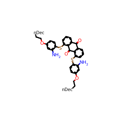 CCCCCCCCCCCCOc1ccc(Sc2cccc3c2C(=O)c2c(Sc4ccc(OCCCCCCCCCCCC)cc4N)cccc2C3=O)c(N)c1